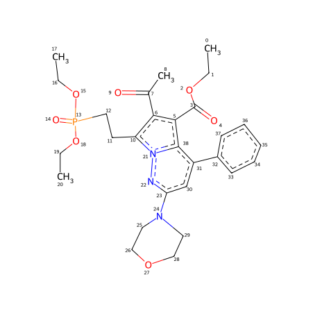 CCOC(=O)c1c(C(C)=O)c(CCP(=O)(OCC)OCC)n2nc(N3CCOCC3)cc(-c3ccccc3)c12